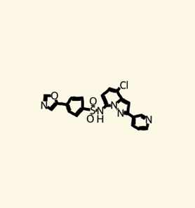 O=S(=O)(Nc1ccc(Cl)c2cc(-c3cccnc3)nn12)c1ccc(-c2cnco2)cc1